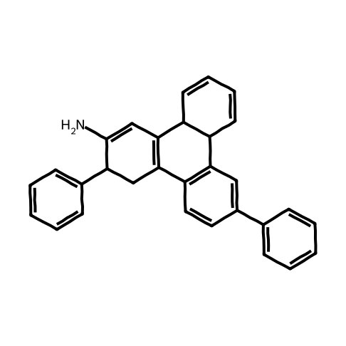 NC1=CC2=C(CC1c1ccccc1)c1ccc(-c3ccccc3)cc1C1C=CC=CC21